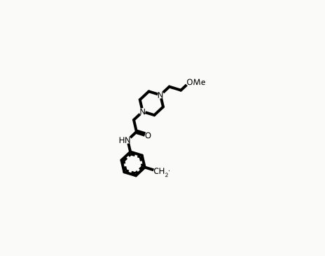 [CH2]c1cccc(NC(=O)CN2CCN(CCOC)CC2)c1